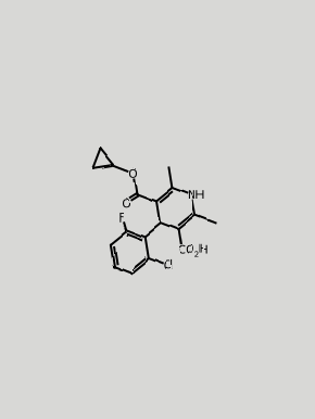 CC1=C(C(=O)O)C(c2c(F)cccc2Cl)C(C(=O)OC2CC2)=C(C)N1